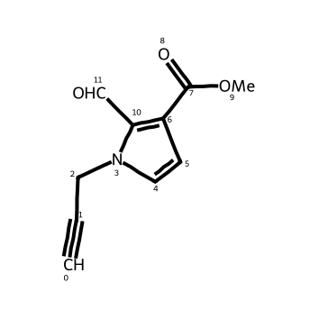 C#CCn1ccc(C(=O)OC)c1C=O